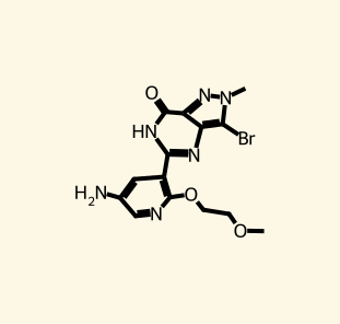 COCCOc1ncc(N)cc1-c1nc2c(Br)n(C)nc2c(=O)[nH]1